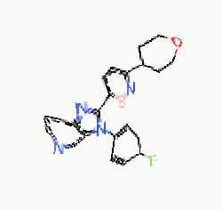 FC1C=CC(n2c(-c3bnc(C4CCOCC4)cc3)nc3ccncc32)=CC1